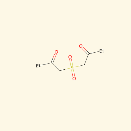 CCC(=O)CS(=O)(=O)CC(=O)CC